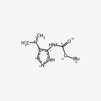 CN(C)c1cn[nH]c1NC(=O)OC(C)(C)C